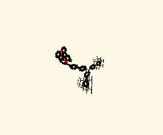 [2H]c1c([2H])c([2H])c(-c2ccc(N(c3ccc(-c4ccc(-c5ccc6c(c5)C5(c7ccccc7-c7ccccc75)c5ccccc5-6)cc4)cc3)c3ccc(-c4c([2H])c([2H])c([2H])c([2H])c4[2H])cc3)cc2)c([2H])c1[2H]